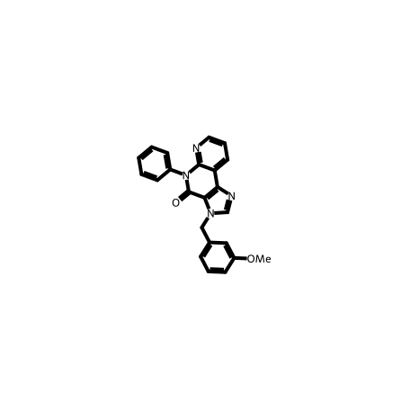 COc1cccc(Cn2cnc3c4cccnc4n(-c4ccccc4)c(=O)c32)c1